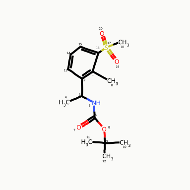 Cc1c(C(C)NC(=O)OC(C)(C)C)cccc1S(C)(=O)=O